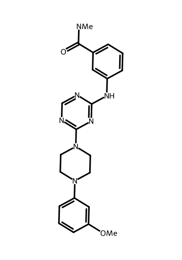 CNC(=O)c1cccc(Nc2ncnc(N3CCN(c4cccc(OC)c4)CC3)n2)c1